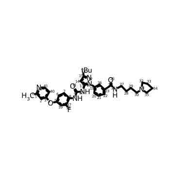 Cc1cc(Oc2ccc(NC(=O)Nc3cc(C(C)(C)C)nn3-c3cccc(C(=O)NCCCCN4CCCC4)c3)c(F)c2)ccn1